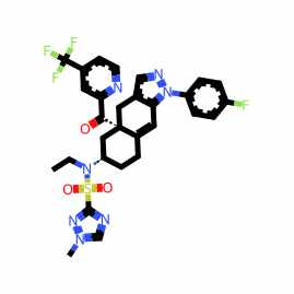 CCN([C@H]1CCC2=Cc3c(cnn3-c3ccc(F)cc3)C[C@]2(C(=O)c2cc(C(F)(F)F)ccn2)C1)S(=O)(=O)c1ncn(C)n1